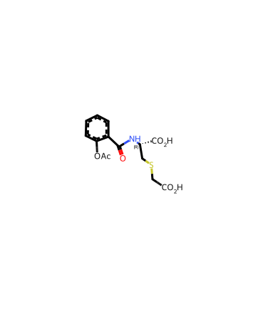 CC(=O)Oc1ccccc1C(=O)N[C@@H](CSCC(=O)O)C(=O)O